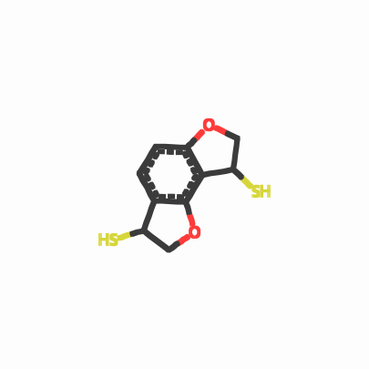 SC1COc2c1ccc1c2C(S)CO1